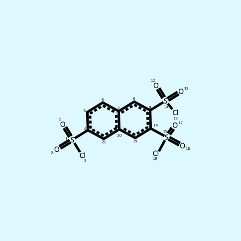 O=S(=O)(Cl)c1ccc2cc(S(=O)(=O)Cl)c(S(=O)(=O)Cl)cc2c1